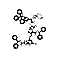 COC(C)(C)O/N=C(\C(=O)N[C@@H]1C(=O)N2C(C(=O)OC(c3ccccc3)c3ccccc3)=C(CSc3cc(C)nc4nc(C(=O)OC(c5ccccc5)c5ccccc5)nn34)CS[C@H]12)c1csc(NC(c2ccccc2)(c2ccccc2)c2ccccc2)n1